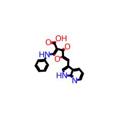 O=C(O)C1=C(Nc2ccccc2)OC(=Cc2c[nH]c3ncccc23)C1=O